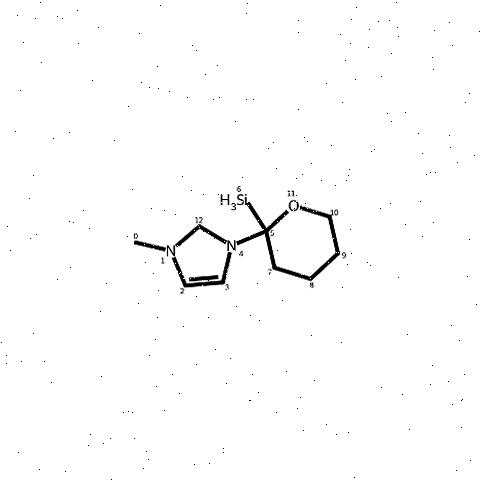 CN1C=CN(C2([SiH3])CCCCO2)C1